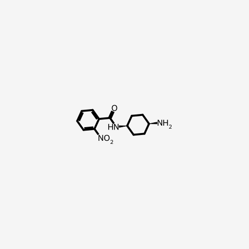 N[C@H]1CC[C@@H](NC(=O)c2ccccc2[N+](=O)[O-])CC1